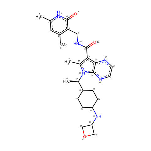 CSc1cc(C)[nH]c(=O)c1CNC(=O)c1c(C)n([C@H](C)C2CCC(NC3COC3)CC2)c2nccnc12